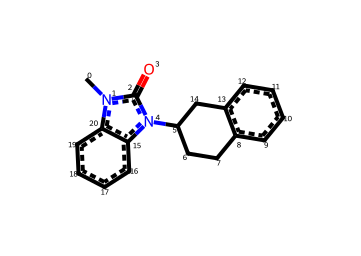 Cn1c(=O)n(C2CCc3ccccc3C2)c2ccccc21